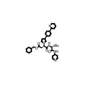 CC(C)(C)[C@H](NC(=O)[C@@H](CC(=O)OCc1ccccc1)n1ccc(-c2ccc(-c3ccccn3)cc2)c1)C(=O)Nc1ccncc1